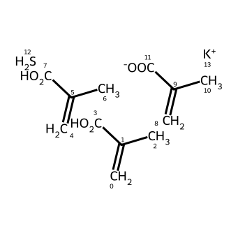 C=C(C)C(=O)O.C=C(C)C(=O)O.C=C(C)C(=O)[O-].S.[K+]